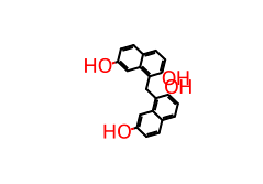 Oc1ccc2ccc(O)c(Cc3c(O)ccc4ccc(O)cc34)c2c1